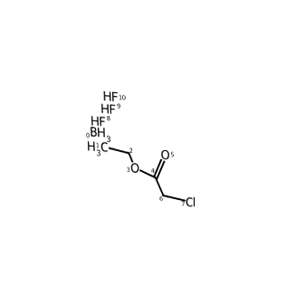 B.CCOC(=O)CCl.F.F.F